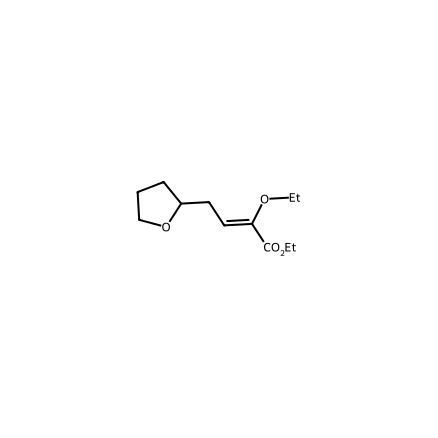 CCOC(=O)C(=CCC1CCCO1)OCC